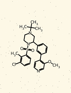 COc1cnccc1-c1cccc(C2CN(C(C)(C)C)CCN2S(=O)(=O)c2cccc(Cl)c2C)c1